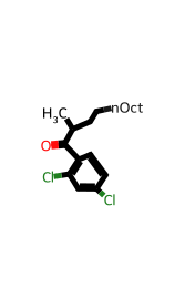 CCCCCCCCCCC(C)C(=O)c1ccc(Cl)cc1Cl